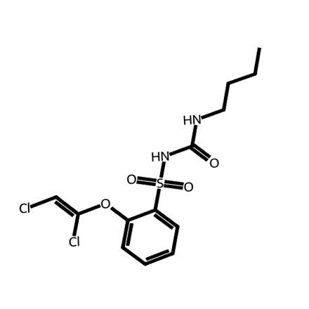 CCCCNC(=O)NS(=O)(=O)c1ccccc1OC(Cl)=CCl